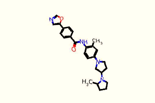 Cc1cc(N2CCC(N3CCCC3C)C2)ccc1NC(=O)c1ccc(-c2cnco2)cc1